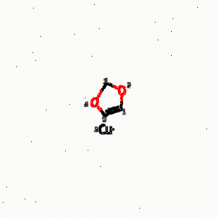 C1=COCO1.[Cu]